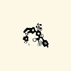 CNC(=O)c1c(-c2ccc(C)cc2)oc2cc(N(C)S(C)(=O)=O)c(-c3ccc4ccn(-c5ccc(C(F)(F)F)cc5)c4c3)cc12